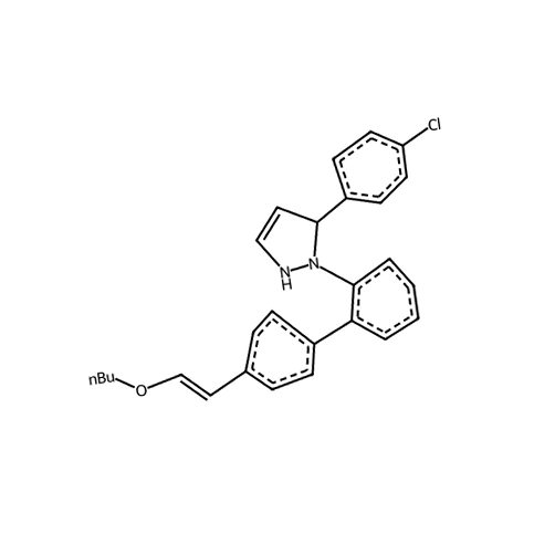 CCCCOC=Cc1ccc(-c2ccccc2N2NC=CC2c2ccc(Cl)cc2)cc1